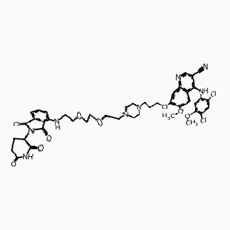 COc1cc(Nc2c(C#N)cnc3cc(OCCCN4CCN(CCOCCOCCNc5cccc6c5C(=O)N(C5CCC(=O)NC5=O)C6=O)CC4)c(OC)cc23)c(Cl)cc1Cl